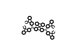 CCC1(CC)c2ccccc2-c2ccc(N(c3ccc4c(c3)C(CC)(CC)c3ccccc3-4)c3ccc4c(c3)C3(c5ccccc5-c5ccccc53)c3cc(N(c5ccc6c(c5)C(CC)(CC)c5ccccc5-6)c5ccc6c(c5)C(CC)(CC)c5ccccc5-6)ccc3-4)cc21